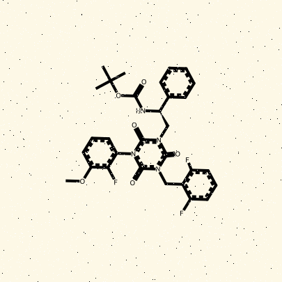 COc1cccc(-n2c(=O)n(Cc3c(F)cccc3F)c(=O)n(C[C@@H](NC(=O)OC(C)(C)C)c3ccccc3)c2=O)c1F